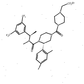 CCOC(=O)CN1CCN(C(=O)N2CCN(C(=O)N(C)[C@H](C)c3cc(C(F)(F)F)cc(C(F)(F)F)c3)[C@@H](c3ccc(F)cc3C)C2)CC1